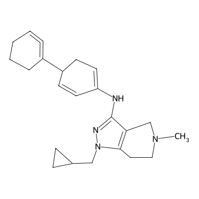 CN1CCc2c(c(NC3=CCC(C4=C=CCCC4)C=C3)nn2CC2CC2)C1